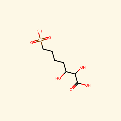 O=C(O)[C](O)C(O)CCCCS(=O)(=O)O